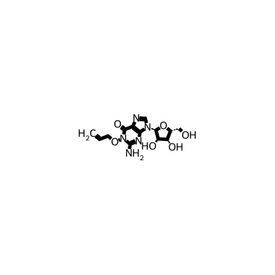 C=CCOn1c(N)nc2c(ncn2[C@@H]2O[C@H](CO)[C@H](O)[C@H]2O)c1=O